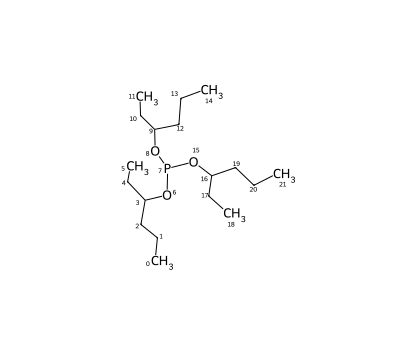 CCCC(CC)OP(OC(CC)CCC)OC(CC)CCC